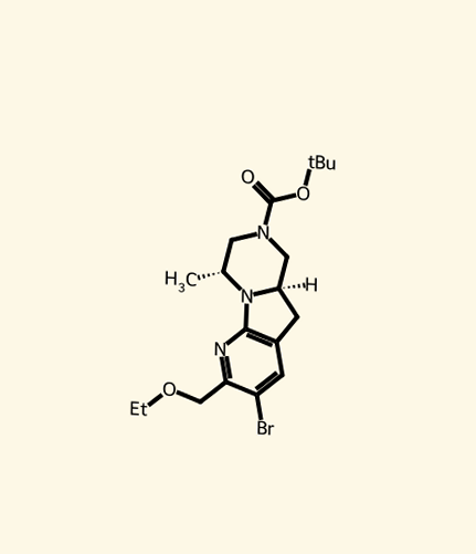 CCOCc1nc2c(cc1Br)C[C@@H]1CN(C(=O)OC(C)(C)C)C[C@@H](C)N21